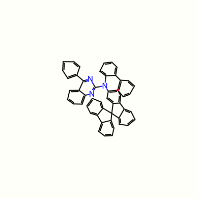 c1ccc(-c2ccccc2N(c2ccc3c(c2)C2(c4ccccc4-c4ccccc42)c2ccccc2-3)c2nc(-c3ccccc3)c3ccccc3n2)cc1